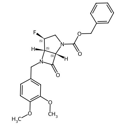 COc1ccc(CN2C(=O)[C@@H]3[C@H]2[C@@H](F)CN3C(=O)OCc2ccccc2)cc1OC